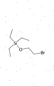 CC[Si](CC)(CC)OCCBr